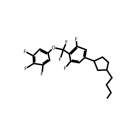 CCCCC1CCC(c2cc(F)c(C(F)(F)Oc3cc(F)c(F)c(F)c3)c(F)c2)C1